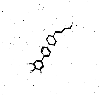 FCCC=C[C@H]1CC[C@H](c2ccc(-c3cc(F)c(Cl)c(F)c3)cc2)CC1